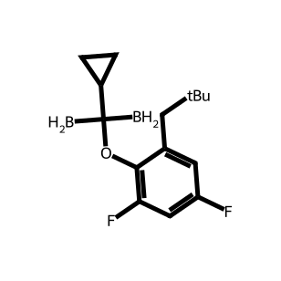 BC(B)(Oc1c(F)cc(F)cc1CC(C)(C)C)C1CC1